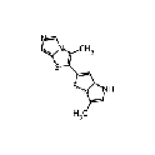 CC1=CNC2C=C(c3sc4cncn4c3C)SN12